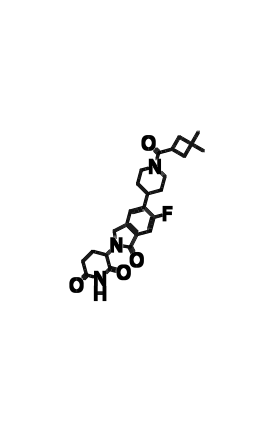 CC1(C)CC(C(=O)N2CCC(c3cc4c(cc3F)C(=O)N(C3CCC(=O)NC3=O)C4)CC2)C1